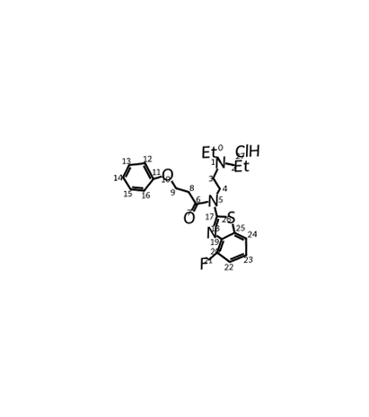 CCN(CC)CCN(C(=O)CCOc1ccccc1)c1nc2c(F)cccc2s1.Cl